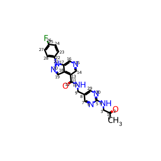 CC(=O)CNc1ncc(CNC(=O)c2cncc3c2cnn3-c2ccc(F)cc2)cn1